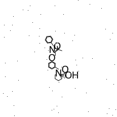 Cc1oc(-c2ccccc2)nc1COc1cccc(CN2CCCC[C@@H]2C(=O)O)c1